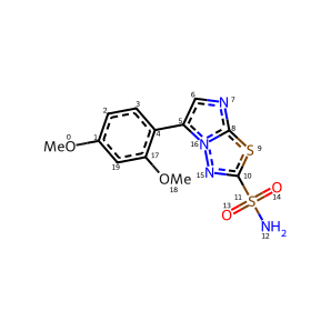 COc1ccc(-c2cnc3sc(S(N)(=O)=O)nn23)c(OC)c1